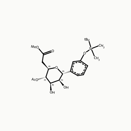 COC(=O)C[C@H]1O[C@H](c2cccc(O[Si](C)(C)C(C)(C)C)c2)[C@@H](O)[C@@H](O)[C@@H]1OC(C)=O